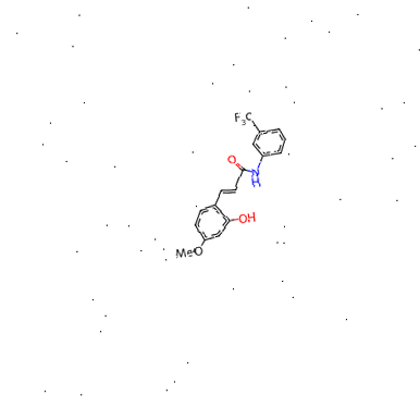 COc1ccc(C=CC(=O)Nc2cccc(C(F)(F)F)c2)c(O)c1